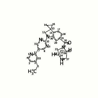 CCc1ccnc(-c2cnc(N3CC4(CC4)c4ccc(C(=O)N5C[C@@H]6C[C@H]5CN6)cc43)nc2)c1